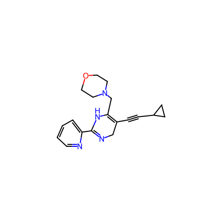 C(#CC1CC1)C1=C(CN2CCOCC2)NC(c2ccccn2)=NC1